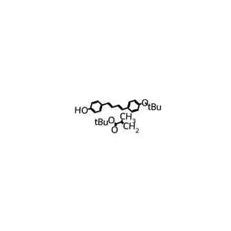 C=C(C)C(=O)OC(C)(C)C.CC(C)(C)Oc1ccc(C=CC=Cc2ccc(O)cc2)cc1